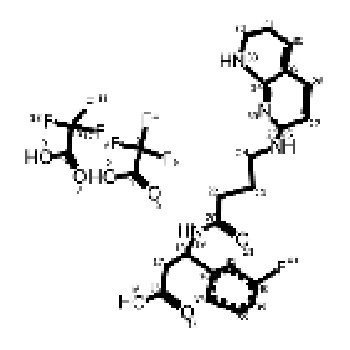 O=C(O)C(F)(F)F.O=C(O)C(F)(F)F.O=C(O)CC(NC(=O)CCCNC1C=CC2=CCCNC2=N1)c1cccc(F)c1